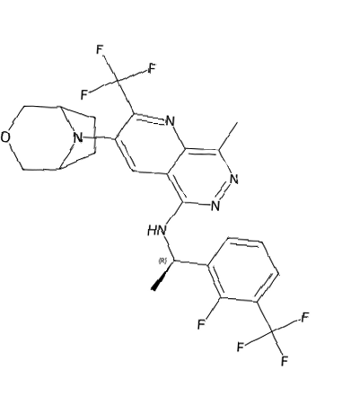 Cc1nnc(N[C@H](C)c2cccc(C(F)(F)F)c2F)c2cc(N3C4CCC3COC4)c(C(F)(F)F)nc12